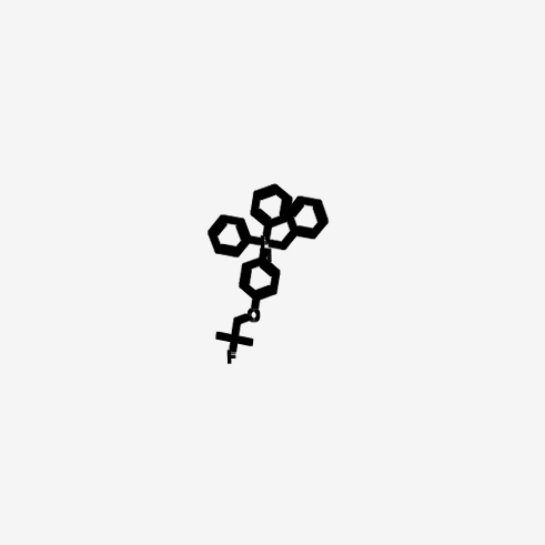 CC(C)(F)COc1ccc([PH](Cc2ccccc2)(c2ccccc2)c2ccccc2)cc1